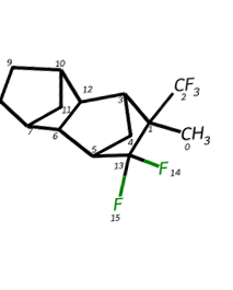 CC1(C(F)(F)F)C2CC(C3C4CCC(C4)C32)C1(F)F